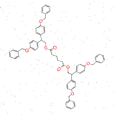 O=C(CCCCC(=O)OCC(c1ccc(OCc2ccccc2)cc1)c1ccc(OCc2ccccc2)cc1)OCC(c1ccc(OCc2ccccc2)cc1)c1ccc(OCc2ccccc2)cc1